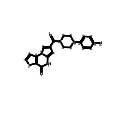 O=C(c1cc2[nH]c(=O)c3sccc3n2c1)N1CCN(c2ccc(Cl)cc2)CC1